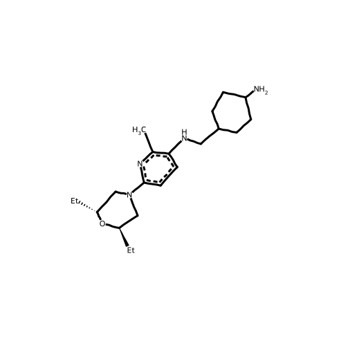 CC[C@@H]1CN(c2ccc(NCC3CCC(N)CC3)c(C)n2)C[C@@H](CC)O1